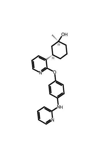 C[C@]1(O)CCC[C@H](c2cccnc2Oc2ccc(Nc3ccccn3)cc2)C1